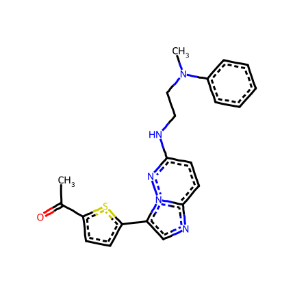 CC(=O)c1ccc(-c2cnc3ccc(NCCN(C)c4ccccc4)nn23)s1